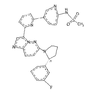 CS(=O)(=O)Nc1ccc(-c2cccc(-c3cnc4ccc(N5CCC[C@@H]5c5cccc(F)c5)nn34)n2)cn1